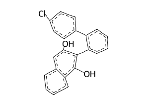 Oc1cc2ccccc2c(O)c1-c1ccccc1-c1ccc(Cl)cc1